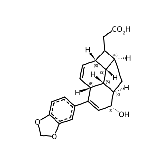 O=C(O)CC1[C@H]2C=C[C@H]3C(c4ccc5c(c4)OCO5)=C[C@@H](O)[C@@H]4C[C@H]1[C@@H]2[C@H]43